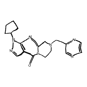 O=c1c2cnn(C3CCCC3)c2nc2n1CCN(Cc1cnccn1)C2